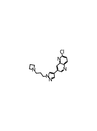 Clc1ccc2ncc(-c3cnn(CCCN4CCC4)c3)cc2n1